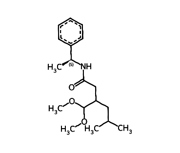 COC(OC)C(CC(=O)N[C@@H](C)c1ccccc1)CC(C)C